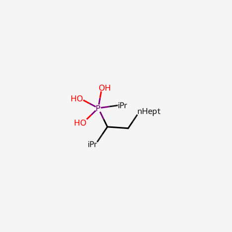 CCCCCCCCC(C(C)C)P(O)(O)(O)C(C)C